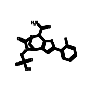 Cc1ccccc1-c1cc2c(s1)C(C(N)=O)N1CC2N(OS(=O)(=O)O)C1=O